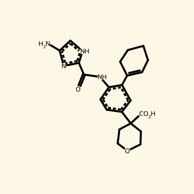 Nc1c[nH]c(C(=O)Nc2ccc(C3(C(=O)O)CCOCC3)cc2C2=CCCCC2)n1